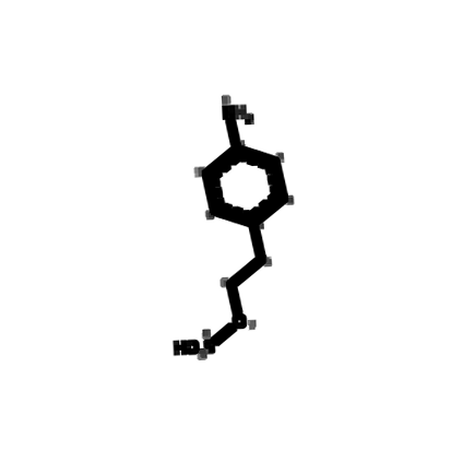 Nc1ccc(CCOS(=O)(=O)O)cc1